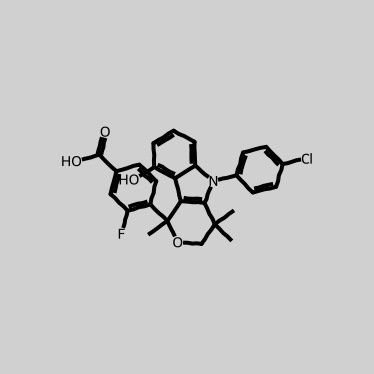 CC1(C)COC(C)(c2ccc(C(=O)O)cc2F)c2c1n(-c1ccc(Cl)cc1)c1cccc(O)c21